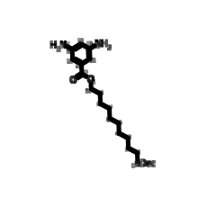 CCCCCCCCCCCCCCCCCCCCOC(=O)c1cc(N)cc(N)c1